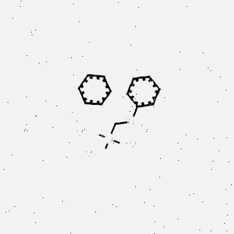 CO[Si](CNc1ccccc1)(OC)OC.c1ccccc1